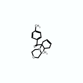 Cc1ccc(C(=S)C2(N3CCOCC3)CC=CCC2C)cc1